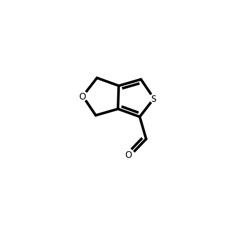 O=Cc1scc2c1COC2